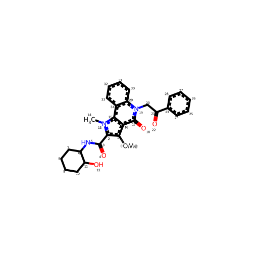 COc1c(C(=O)NC2CCCCC2O)n(C)c2c1c(=O)n(CC(=O)c1ccccc1)c1ccccc21